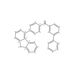 c1ccc(-c2cccc(Nc3ccc(-c4cccc5sc6ccccc6c45)cc3)c2)cc1